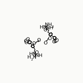 COCCCOc1cc(CCC(=O)NC(=N)N)ccc1-c1ccc2c(c1)OCCCO2.COCCCOc1cc(CCC(=O)NC(=N)N)ccc1-c1ccc2c(c1)OCCO2